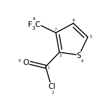 O=C(Cl)c1sccc1C(F)(F)F